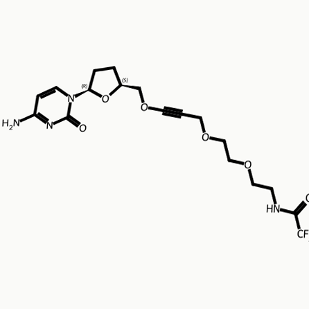 Nc1ccn([C@H]2CC[C@@H](COC#CCOCCOCCNC(=O)C(F)(F)F)O2)c(=O)n1